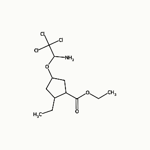 CCOC(=O)C1CC(OC(N)C(Cl)(Cl)Cl)CC1CC